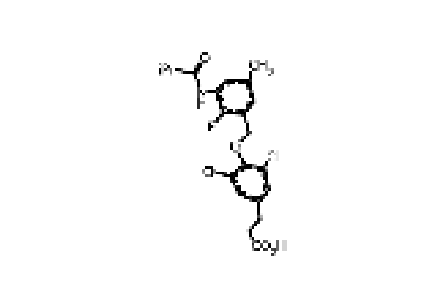 Cc1cc(COc2c(Cl)cc(CCC(=O)O)cc2Cl)c(F)c(NC(=O)C(C)C)c1